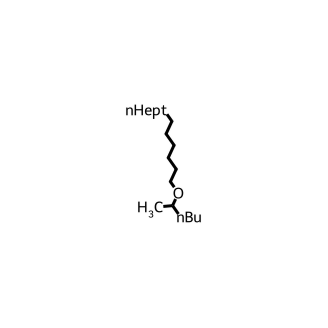 CCCCCCCCCCCCCOC(C)CCCC